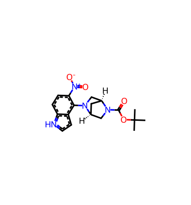 CC(C)(C)OC(=O)N1C[C@@H]2C[C@H]1CN2c1c([N+](=O)[O-])ccc2[nH]ccc12